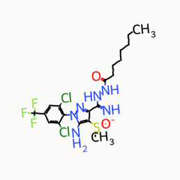 CCCCCCCC(=O)NNC(=N)c1nn(-c2c(Cl)cc(C(F)(F)F)cc2Cl)c(N)c1[S+](C)[O-]